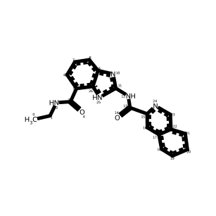 CCNC(=O)c1cccc2nc(NC(=O)c3cc4ccccc4cn3)[nH]c12